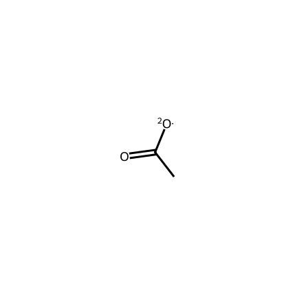 CC(=O)[2O]